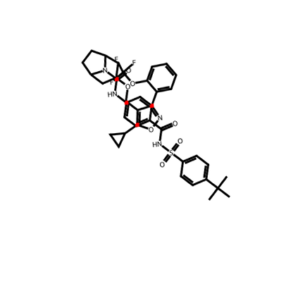 CC(C)(C)c1ccc(S(=O)(=O)NC(=O)c2ccc(NC(=O)N3C4CCC3CC(OCc3c(-c5ccccc5OC(F)(F)F)noc3C3CC3)C4)cc2)cc1